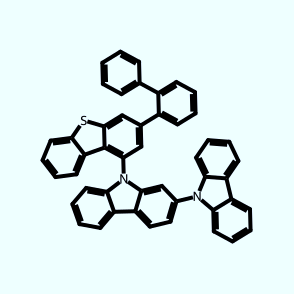 c1ccc(-c2ccccc2-c2cc(-n3c4ccccc4c4ccc(-n5c6ccccc6c6ccccc65)cc43)c3c(c2)sc2ccccc23)cc1